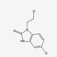 O=c1[nH]c2cc(Cl)ccc2n1CCCl